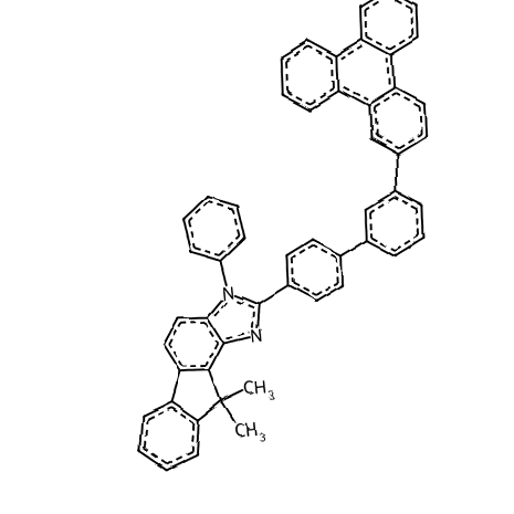 CC1(C)c2ccccc2-c2ccc3c(nc(-c4ccc(-c5cccc(-c6ccc7c8ccccc8c8ccccc8c7c6)c5)cc4)n3-c3ccccc3)c21